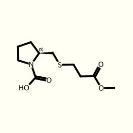 COC(=O)CCSC[C@@H]1CCCN1C(=O)O